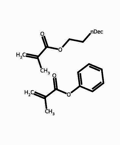 C=C(C)C(=O)OCCCCCCCCCCCC.C=C(C)C(=O)Oc1ccccc1